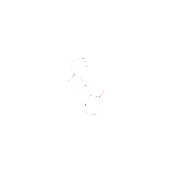 CC(C)(C1CCCCC1=O)C1CCCCC1=O